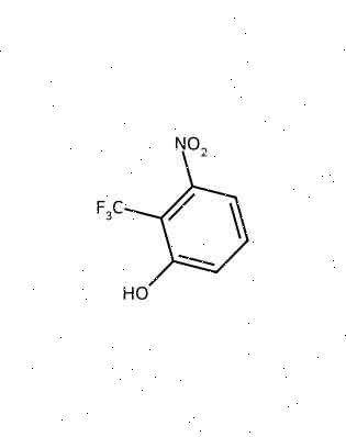 O=[N+]([O-])c1cccc(O)c1C(F)(F)F